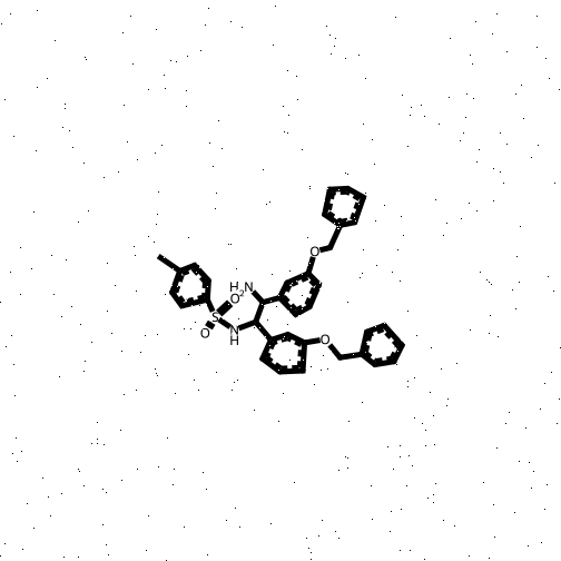 Cc1ccc(S(=O)(=O)NC(c2cccc(OCc3ccccc3)c2)C(N)c2cccc(OCc3ccccc3)c2)cc1